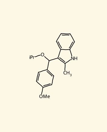 COc1ccc(C(OC(C)C)c2c(C)[nH]c3ccccc23)cc1